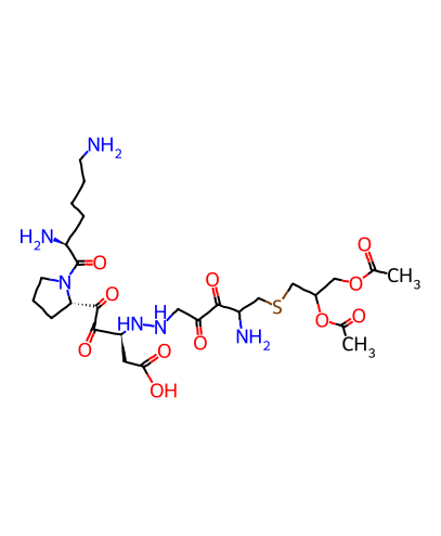 CC(=O)OCC(CSCC(N)C(=O)C(=O)CNN[C@@H](CC(=O)O)C(=O)C(=O)[C@@H]1CCCN1C(=O)[C@@H](N)CCCCN)OC(C)=O